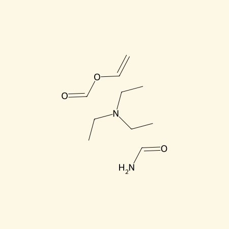 C=COC=O.CCN(CC)CC.NC=O